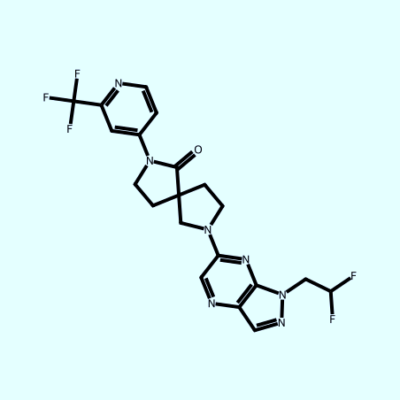 O=C1N(c2ccnc(C(F)(F)F)c2)CCC12CCN(c1cnc3cnn(CC(F)F)c3n1)C2